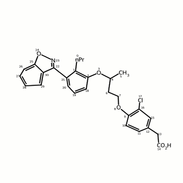 CCCc1c(OC(C)CCOc2ccc(CC(=O)O)cc2Cl)cccc1-c1noc2ccccc12